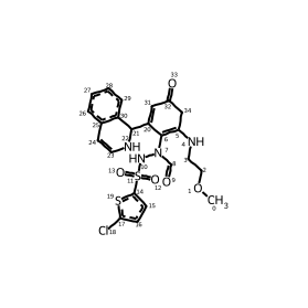 COCCNC1=C(N(C=O)NS(=O)(=O)c2ccc(Cl)s2)C(C2NC=Cc3ccccc32)=CC(=O)C1